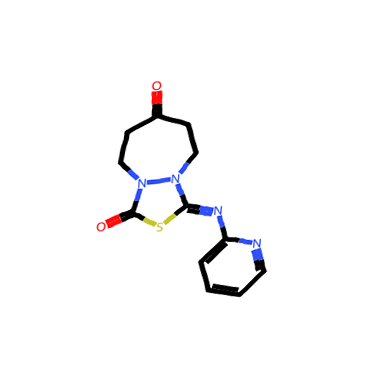 O=C1CCn2c(=O)sc(=Nc3ccccn3)n2CC1